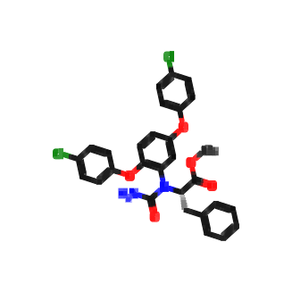 CC(C)(C)OC(=O)[C@H](Cc1ccccc1)N(C(N)=O)c1cc(Oc2ccc(Cl)cc2)ccc1Oc1ccc(Cl)cc1